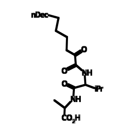 CCCCCCCCCCCCCCC(=O)C(=O)NC(C(=O)NC(C)C(=O)O)C(C)C